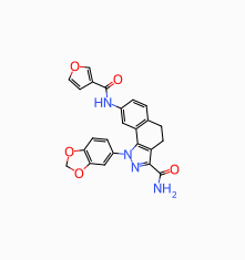 NC(=O)c1nn(-c2ccc3c(c2)OCO3)c2c1CCc1ccc(NC(=O)c3ccoc3)cc1-2